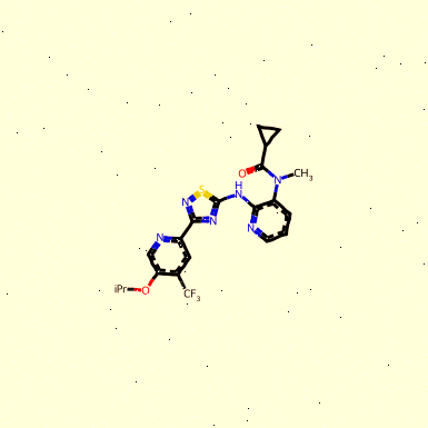 CC(C)Oc1cnc(-c2nsc(Nc3ncccc3N(C)C(=O)C3CC3)n2)cc1C(F)(F)F